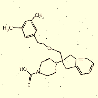 Cc1cc(C)cc(CCOCC2(N3CCN(C(=O)O)CC3)Cc3ccccc3C2)c1